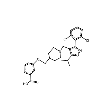 CC(C)c1onc(-c2c(Cl)cccc2Cl)c1CN1CCC(COc2cccc(C(=O)O)c2)CC1